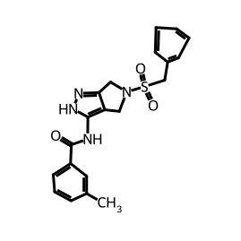 Cc1cccc(C(=O)Nc2[nH]nc3c2CN(S(=O)(=O)Cc2ccccc2)C3)c1